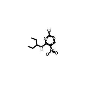 CCC(CC)Nc1nc(Cl)ncc1[N+](=O)[O-]